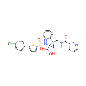 O=C(NC[C@@]1(c2ccccc2)CC1(NS(=O)(=O)c1ccc(-c2ccc(Cl)cc2)s1)C(=O)O)c1cccnc1